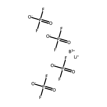 O=P([O-])(F)F.O=P([O-])(F)F.O=P([O-])(F)F.O=P([O-])(F)F.[B+3].[Li+]